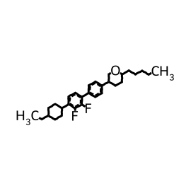 CCCCCC1CCC(c2ccc(-c3ccc(C4CCC(CC)CC4)c(F)c3F)cc2)CO1